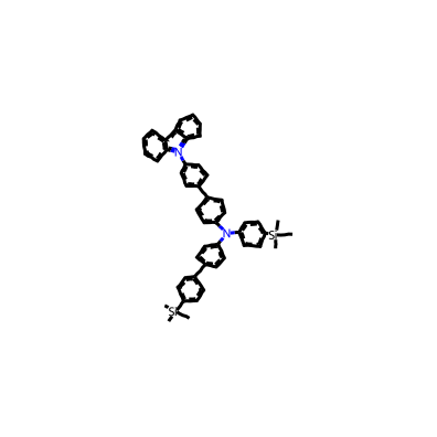 C[Si](C)(C)c1ccc(-c2ccc(N(c3ccc(-c4ccc(-n5c6ccccc6c6ccccc65)cc4)cc3)c3ccc([Si](C)(C)C)cc3)cc2)cc1